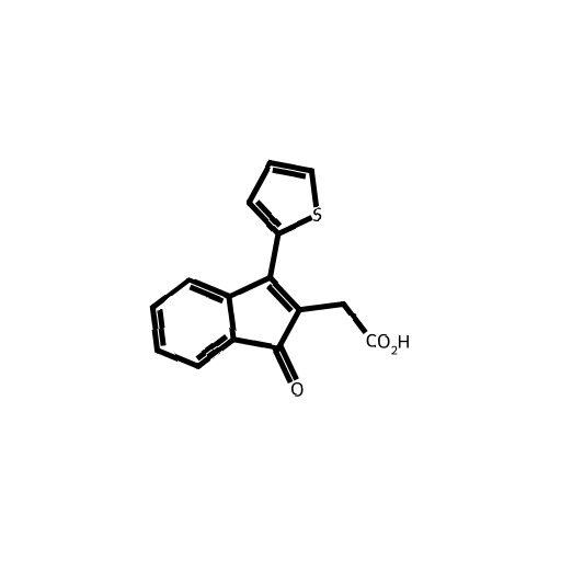 O=C(O)CC1=C(c2cccs2)c2ccccc2C1=O